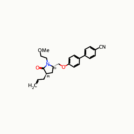 C=CC[C@@H]1C[C@@H](COc2ccc(-c3ccc(C#N)cc3)cc2)N(CCOC)C1=O